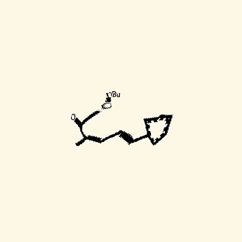 CCCCOC(=O)C(C)=CC=Cc1ccccc1